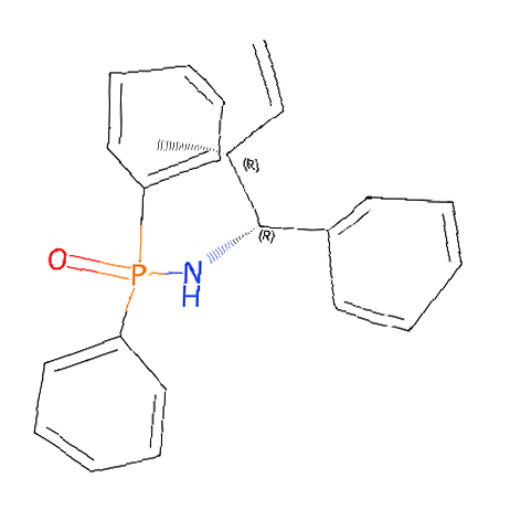 C=C[C@@H](C)[C@@H](NP(=O)(c1ccccc1)c1ccccc1)c1ccccc1